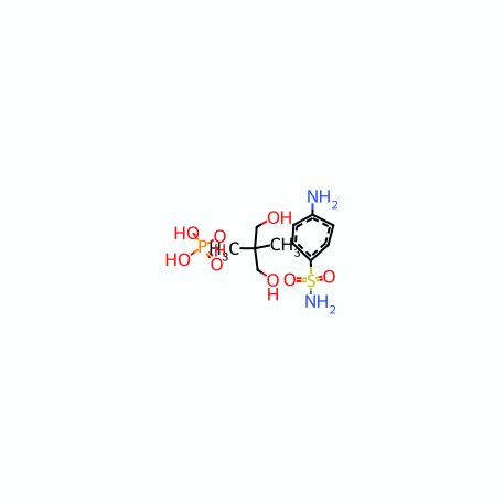 CC(C)(CO)CO.Nc1ccc(S(N)(=O)=O)cc1.O=P(O)(O)O